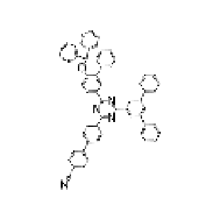 N#Cc1ccc(-c2ccc(-c3nc(-c4cc(-c5ccccc5)cc(-c5ccccc5)c4)nc(-c4ccc5c(c4)-c4ccccc4C(c4ccccc4)(c4ccccc4)O5)n3)cc2)cc1